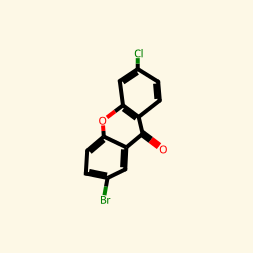 O=c1c2ccc(Cl)cc2oc2ccc(Br)cc12